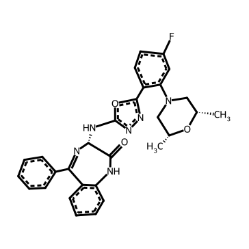 C[C@@H]1CN(c2cc(F)ccc2-c2nnc(N[C@H]3N=C(c4ccccc4)c4ccccc4NC3=O)o2)C[C@H](C)O1